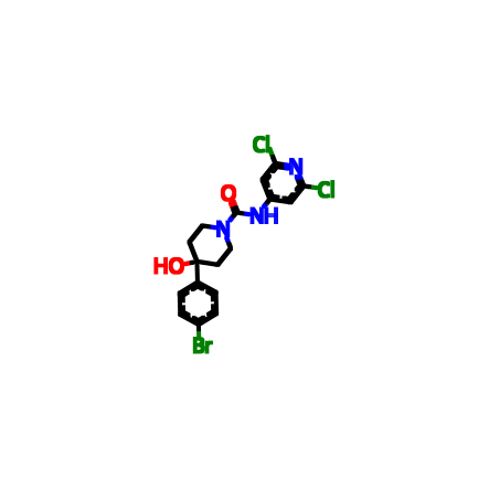 O=C(Nc1cc(Cl)nc(Cl)c1)N1CCC(O)(c2ccc(Br)cc2)CC1